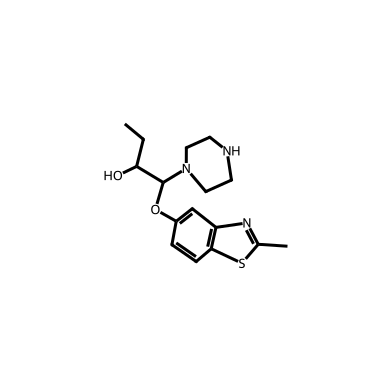 CCC(O)C(Oc1ccc2sc(C)nc2c1)N1CCNCC1